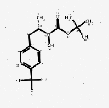 C[C@@H](Cc1ccc(C(F)(F)F)nc1)N(O)C(=O)OC(C)(C)C